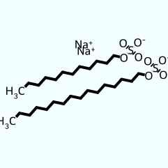 CCCCCCCCCCCCCCCCOS(=O)(=O)[O-].CCCCCCCCCCCCOS(=O)(=O)[O-].[Na+].[Na+]